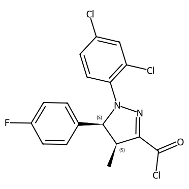 C[C@@H]1C(C(=O)Cl)=NN(c2ccc(Cl)cc2Cl)[C@@H]1c1ccc(F)cc1